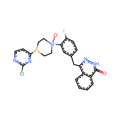 O=c1[nH]nc(Cc2ccc(F)c([N+]3([O-])CCP(c4ccnc(Cl)n4)CC3)c2)c2ccccc12